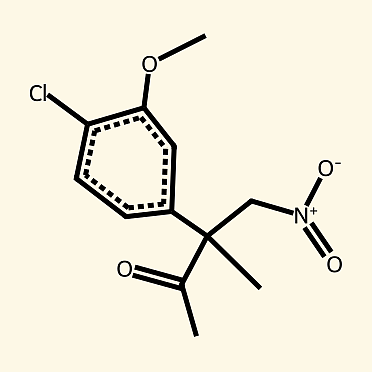 COc1cc(C(C)(C[N+](=O)[O-])C(C)=O)ccc1Cl